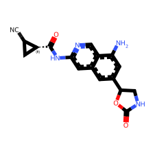 N#CC1C[C@H]1C(=O)Nc1cc2cc(C3CNC(=O)O3)cc(N)c2cn1